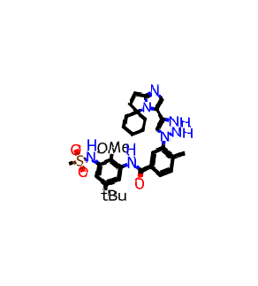 COc1c(NC(=O)c2ccc(C)c(N3C=C(c4cnc5n4C4(CCCCC4)CC5)NN3)c2)cc(C(C)(C)C)cc1NS(C)(=O)=O